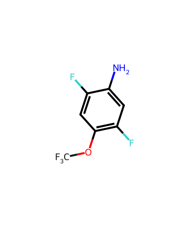 Nc1cc(F)c(OC(F)(F)F)cc1F